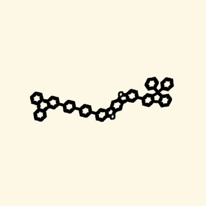 c1ccc(C2(c3ccccc3)c3ccccc3-c3ccc(-c4ccc5oc6cc7c(cc6c5c4)oc4ccc(-c5ccc(-c6ccc(-c8ccc9c%10ccccc%10c%10ccccc%10c9c8)cc6)cc5)cc47)cc32)cc1